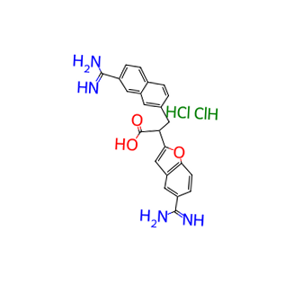 Cl.Cl.N=C(N)c1ccc2ccc(CC(C(=O)O)c3cc4cc(C(=N)N)ccc4o3)cc2c1